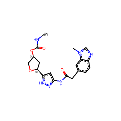 CC(C)NC(=O)O[C@@H]1CO[C@H](c2cc(NC(=O)Cc3ccc4ncn(C)c4c3)n[nH]2)C1